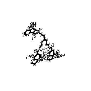 O=C(NCCCC(CCCNC(=O)c1cc(S(=O)(=O)O)c2cccnc2c1O)CCCNC(=O)c1cc(S(=O)(=O)O)c2cccnc2c1O)c1cc(S(=O)(=O)O)c2cccnc2c1O